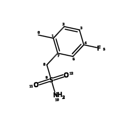 Cc1ccc(F)cc1CS(N)(=O)=O